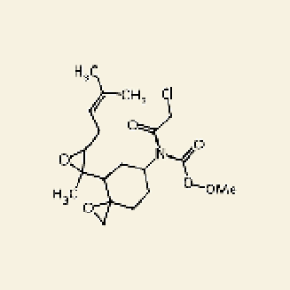 COOC(=O)N(C(=O)CCl)C1CCC2(CO2)C(C2(C)OC2CC=C(C)C)C1